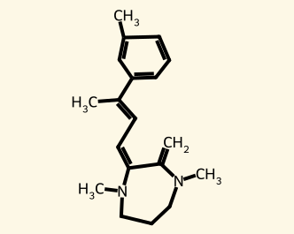 C=C1/C(=C\C=C(/C)c2cccc(C)c2)N(C)CCCN1C